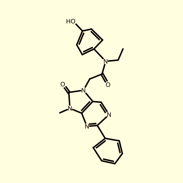 CCN(C(=O)Cn1c(=O)n(C)c2nc(-c3ccccc3)ncc21)c1ccc(O)cc1